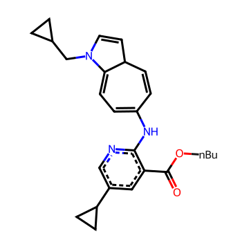 CCCCOC(=O)c1cc(C2CC2)cnc1NC1=CC=C2C(C=C1)C=CN2CC1CC1